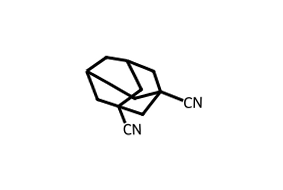 N#CC12CC3CC(C1)CC(C#N)(C3)C2